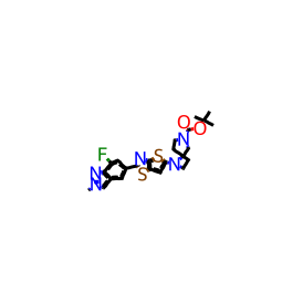 Cn1cc2cc(-c3nc4sc(N5CCC56CCN(C(=O)OC(C)(C)C)C6)cc4s3)cc(F)c2n1